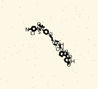 C[C@@H]1CN(CCCO[C@H]2CC[C@H](N3C(=S)N(c4ccc(C#N)c(Cl)c4)C(=O)C3(C)C)CC2)C[C@H](C)N1CC(=O)Nc1cccc2c(C3CCC(=O)NC3=O)nn(C)c12